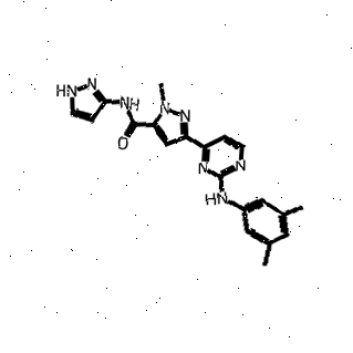 Cc1cc(C)cc(Nc2nccc(-c3cc(C(=O)Nc4cc[nH]n4)n(C)n3)n2)c1